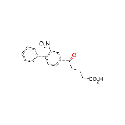 O=C(O)CCCC(=O)c1ccc(-c2ccccc2)c([N+](=O)[O-])c1